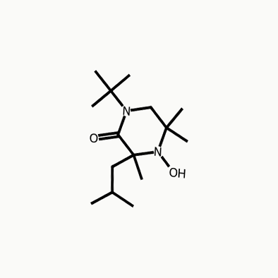 CC(C)CC1(C)C(=O)N(C(C)(C)C)CC(C)(C)N1O